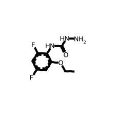 CCOc1cc(F)cc(F)c1NC(=O)NN